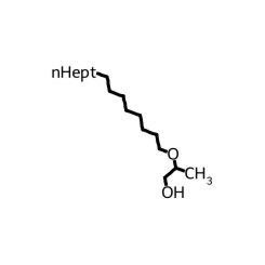 CCCCCCCCCCCCCCCOC(C)CO